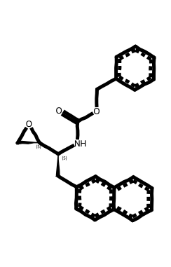 O=C(N[C@@H](Cc1ccc2ccccc2c1)[C@H]1CO1)OCc1ccccc1